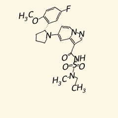 CCN(C)S(=O)(=O)NC(=O)c1cnn2ccc(N3CCC[C@@H]3c3cc(F)ccc3OC)cc12